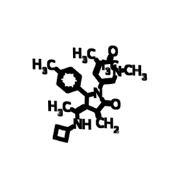 C=C1C(=O)N(C(/C=C(/C)C=O)=C/N(C)C)C(c2ccc(C)cc2)/C1=C(\C)NC1CCC1